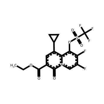 CCOC(=O)c1cc(C2CC2)c2c(OS(=O)(=O)C(F)(F)F)c(F)c(F)cn2c1=O